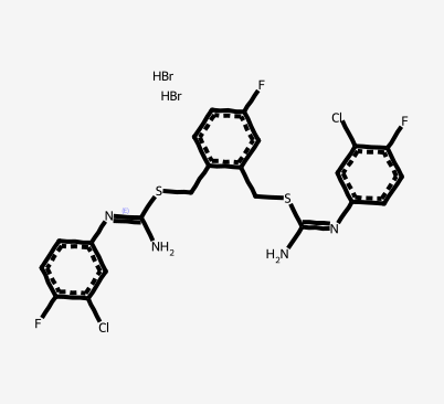 Br.Br.NC(=Nc1ccc(F)c(Cl)c1)SCc1cc(F)ccc1CS/C(N)=N/c1ccc(F)c(Cl)c1